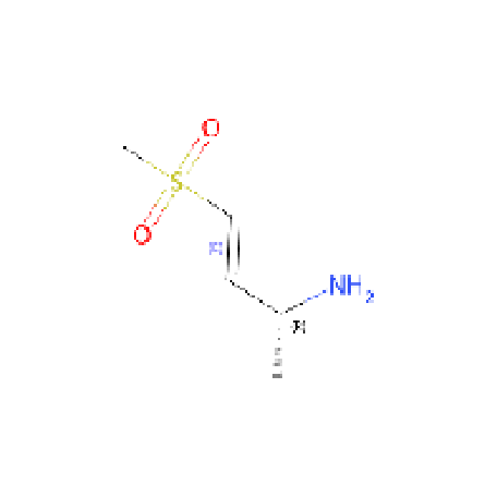 C[C@@H](N)/C=C/S(C)(=O)=O